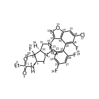 CCS(=O)(=O)N[C@@H]1CN2C(=O)N(c3noc4cc(Cl)c(F)c(-c5c(F)cc(F)cc5F)c34)C[C@@H]2C1(F)F